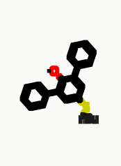 CCCCSc1cc(-c2ccccc2)c([O])c(-c2ccccc2)c1